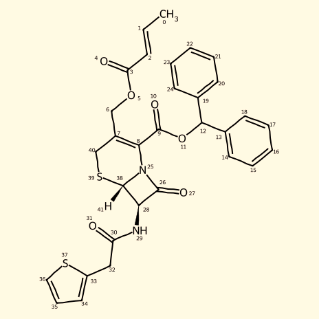 C/C=C/C(=O)OCC1=C(C(=O)OC(c2ccccc2)c2ccccc2)N2C(=O)[C@@H](NC(=O)Cc3cccs3)[C@@H]2SC1